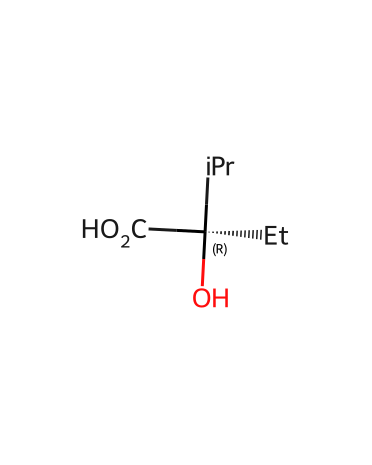 CC[C@](O)(C(=O)O)C(C)C